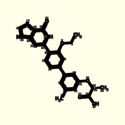 CCOc1cc(-c2cc(C)cc(O[C@H](C)C(=O)O)c2)ccc1-c1nc2[nH]cnc2c(=O)[nH]1